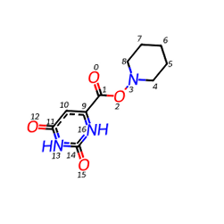 O=C(ON1CCCCC1)c1cc(=O)[nH]c(=O)[nH]1